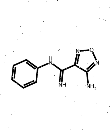 N=C(Nc1ccccc1)c1nonc1N